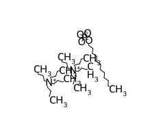 CCCCCCCCCCCCOP(=O)([O-])[O-].CCCC[N+](CCCC)(CCCC)CCCC.CCCC[N+](CCCC)(CCCC)CCCC